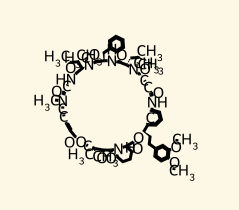 CC[C@H](C)[C@H]1C(=O)NCC(=O)N(C)CC/C=C\C(=O)OCC(C)(C)C(=O)C(=O)N2CCCC[C@H]2C(=O)O[C@H](CCc2ccc(OC)c(OC)c2)c2cccc(c2)NC(=O)CCC(=O)N(C)[C@@H](CC(C)C)C(=O)N[C@H](Cc2ccccc2)C(=O)N1C